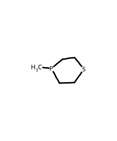 CP1CCSCC1